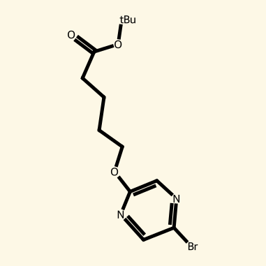 CC(C)(C)OC(=O)CCCCOc1cnc(Br)cn1